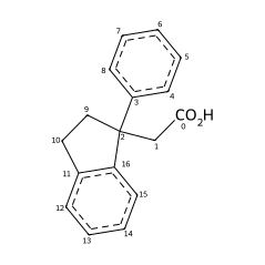 O=C(O)CC1(c2ccccc2)CCc2ccccc21